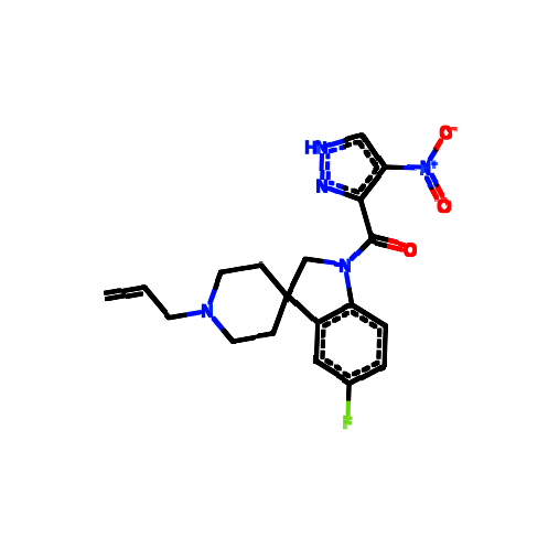 C=CCN1CCC2(CC1)CN(C(=O)c1n[nH]cc1[N+](=O)[O-])c1ccc(F)cc12